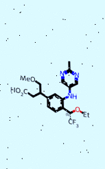 CCO[C@@H](c1ccc(C(COC)CC(=O)O)cc1Nc1cnc(C)nc1)C(F)(F)F